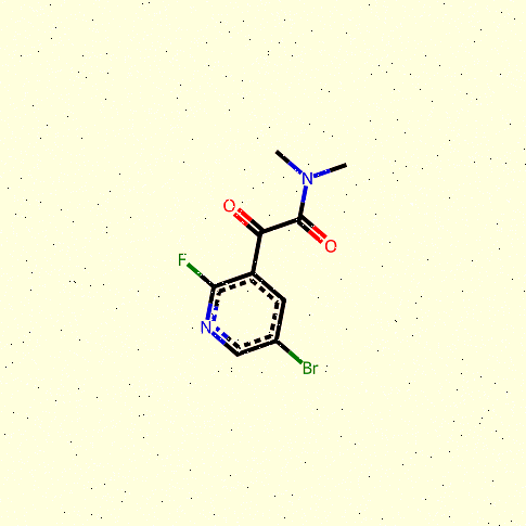 CN(C)C(=O)C(=O)c1cc(Br)cnc1F